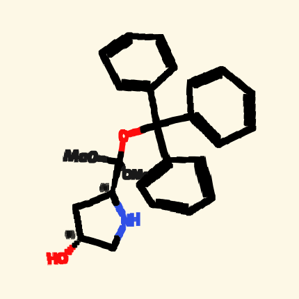 COC(OC)(OC(c1ccccc1)(c1ccccc1)c1ccccc1)[C@@H]1C[C@@H](O)CN1